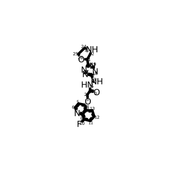 O=C(COc1ccnc2c(F)cccc12)NNc1nnc(C2CNCCO2)nn1